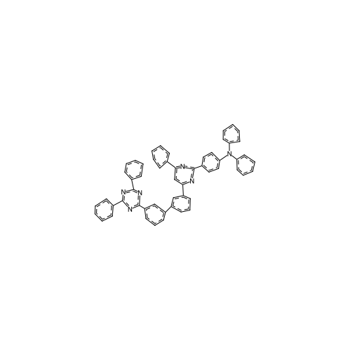 c1ccc(-c2cc(-c3cccc(-c4cccc(-c5nc(-c6ccccc6)nc(-c6ccccc6)n5)c4)c3)nc(-c3ccc(N(c4ccccc4)c4ccccc4)cc3)n2)cc1